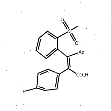 CC(=O)C(=C(C(=O)O)c1ccc(F)cc1)c1ccccc1S(C)(=O)=O